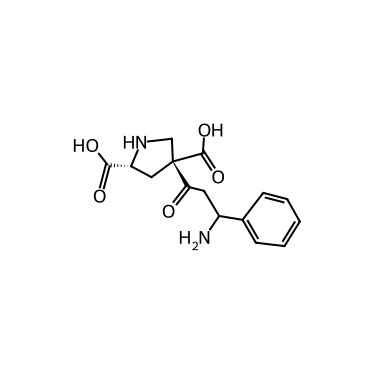 NC(CC(=O)[C@]1(C(=O)O)CN[C@@H](C(=O)O)C1)c1ccccc1